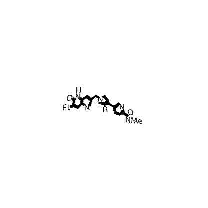 CCc1cc2ncc(CN3CC4=C(c5ccc(C(=O)NC)nc5)[C@@H]4C3)cc2[nH]c1=O